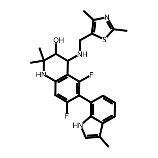 Cc1nc(C)c(CNC2c3c(cc(F)c(-c4cccc5c(C)c[nH]c45)c3F)NC(C)(C)C2O)s1